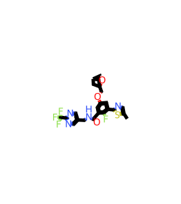 Cc1cnc(-c2cc(OCC34CC(CO3)C4)cc(C(=O)NCc3cnc(C(F)(F)F)nc3)c2F)s1